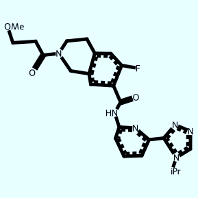 COCCC(=O)N1CCc2cc(F)c(C(=O)Nc3cccc(-c4nncn4C(C)C)n3)cc2C1